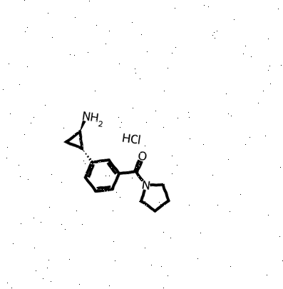 Cl.N[C@@H]1C[C@H]1c1cccc(C(=O)N2CCCC2)c1